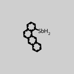 [SbH2][c]1cccc2ccc3cc4ccccc4cc3c12